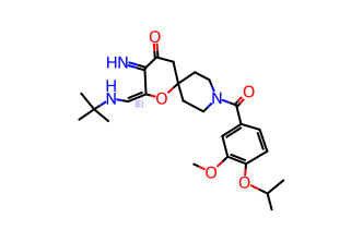 COc1cc(C(=O)N2CCC3(CC2)CC(=O)C(=N)/C(=C\NC(C)(C)C)O3)ccc1OC(C)C